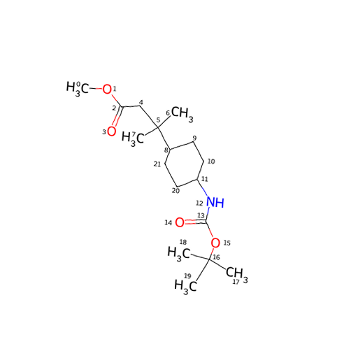 COC(=O)CC(C)(C)C1CCC(NC(=O)OC(C)(C)C)CC1